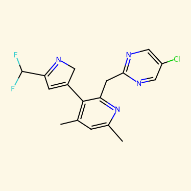 Cc1cc(C)c(C2=CC(C(F)F)=NC2)c(Cc2ncc(Cl)cn2)n1